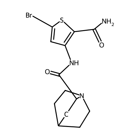 NC(=O)c1sc(Br)cc1NC(=O)C1CC2CCN1CC2